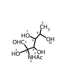 CC(=O)NC(O)(C=O)C(O)C(O)C(C)O